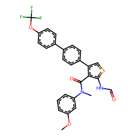 COc1cccc(N(C)C(=O)c2c(-c3ccc(-c4ccc(OC(F)(F)F)cc4)cc3)csc2NC=O)c1